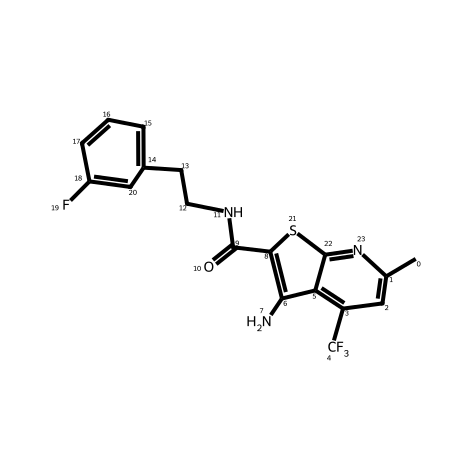 Cc1cc(C(F)(F)F)c2c(N)c(C(=O)NCCc3cccc(F)c3)sc2n1